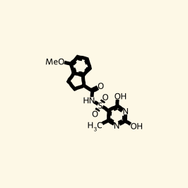 COc1cccc2c1CCC2C(=O)NS(=O)(=O)c1c(C)nc(O)nc1O